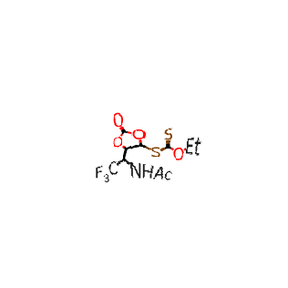 CCOC(=S)SC1OC(=O)OC1C(NC(C)=O)C(F)(F)F